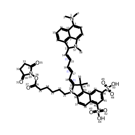 CN(C)c1ccc2c3c(cccc13)C(/C=C/C=C/C=C1/N(CCCCCC(=O)ON3C(=O)CCC3=O)c3ccc4c(S(=O)(=O)O)cc(S(=O)(=O)O)cc4c3C1(C)C)N2C